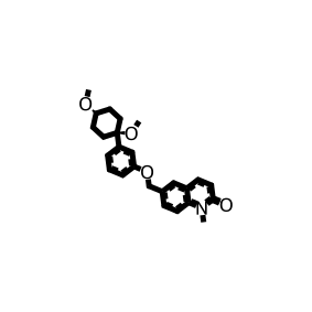 CO[C@H]1CC[C@@](OC)(c2cccc(OCc3ccc4c(ccc(=O)n4C)c3)c2)CC1